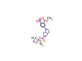 COC(=O)c1cc(N2CCC3CN(C(=O)OC(C)(C)C)CC32)ccc1[N+](=O)[O-]